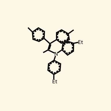 CCc1ccc(N(C(C)=C(c2ccc(C)cc2)c2ccc(C)cc2)c2ccc(CC)cc2)cc1